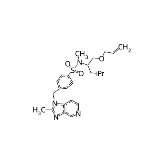 C=CCOCC(CC(C)C)N(C)S(=O)(=O)c1ccc(Cn2c(C)nc3cnccc32)cc1